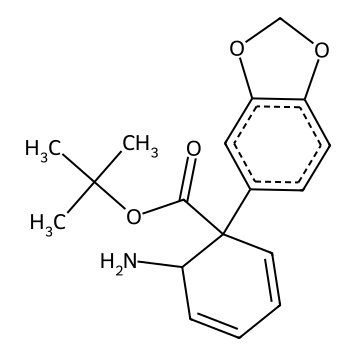 CC(C)(C)OC(=O)C1(c2ccc3c(c2)OCO3)C=CC=CC1N